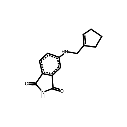 O=C1NC(=O)c2cc(NCC3=CCCC3)ccc21